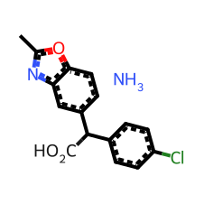 Cc1nc2cc(C(C(=O)O)c3ccc(Cl)cc3)ccc2o1.N